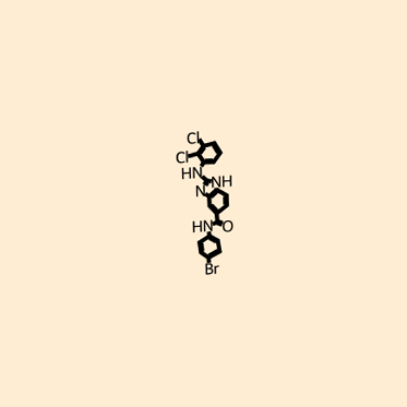 O=C(Nc1ccc(Br)cc1)c1ccc2[nH]c(Nc3cccc(Cl)c3Cl)nc2c1